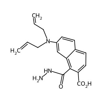 C=CCN(CC=C)c1ccc2ccc(C(=O)O)c(C(=O)NN)c2c1